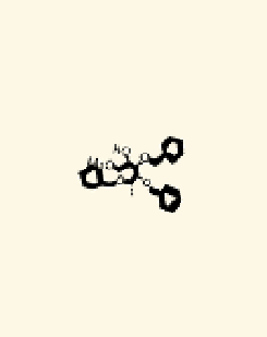 COC[C@@H](O)[C@@H](OCc1ccccc1)[C@H](OCc1ccccc1)[C@H](C)OCc1ccccc1